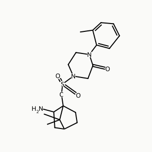 Cc1ccccc1N1CCN(S(=O)(=O)CC23CCC(CC2N)C3(C)C)CC1=O